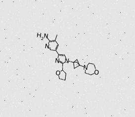 Cc1cc(-c2cn(C34CC(N5CCOCC5)(C3)C4)c(C3CCCO3)n2)cnc1N